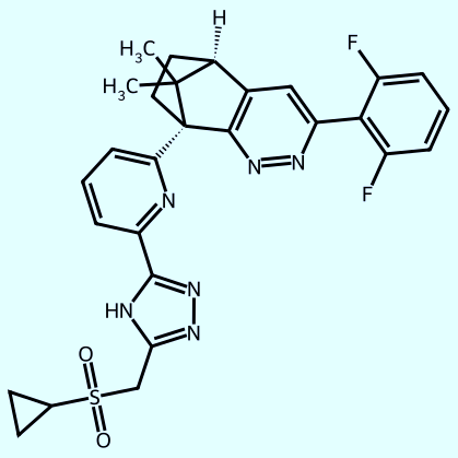 CC1(C)[C@H]2CC[C@]1(c1cccc(-c3nnc(CS(=O)(=O)C4CC4)[nH]3)n1)c1nnc(-c3c(F)cccc3F)cc12